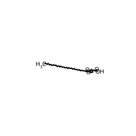 CCCCCCCCCCCCCCCCCCCCCCCCCCCCCCCCCC(=O)Oc1ccc(CCC(=O)O)cc1